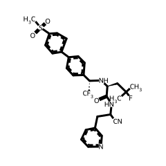 CC(C)(F)C[C@H](N[C@@H](c1ccc(-c2ccc(S(C)(=O)=O)cc2)cc1)C(F)(F)F)C(=O)NC(C#N)Cc1cccnc1